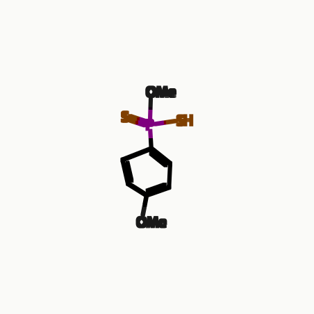 COc1ccc(P(=S)(S)OC)cc1